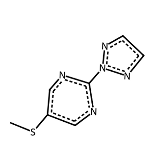 CSc1cnc(-n2nccn2)nc1